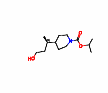 CC(C)OC(=O)N1CCC([C@H](C)CCO)CC1